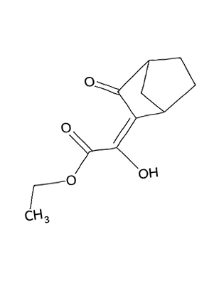 CCOC(=O)/C(O)=C1\C(=O)C2CCC1C2